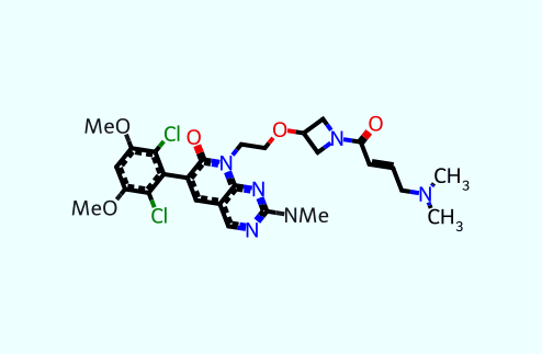 CNc1ncc2cc(-c3c(Cl)c(OC)cc(OC)c3Cl)c(=O)n(CCOC3CN(C(=O)C=CCN(C)C)C3)c2n1